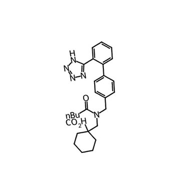 CCCCC(=O)N(Cc1ccc(-c2ccccc2-c2nnn[nH]2)cc1)CC1(C(=O)O)CCCCC1